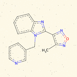 Cc1nonc1-c1nc2ccccc2n1Cc1cccnc1